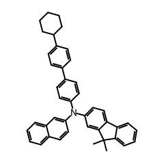 CC1(C)c2ccccc2-c2ccc(N(c3ccc(-c4ccc(C5CCCCC5)cc4)cc3)c3ccc4ccccc4c3)cc21